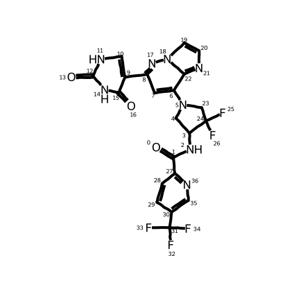 O=C(NC1CN(c2cc(-c3c[nH]c(=O)[nH]c3=O)nn3ccnc23)CC1(F)F)c1ccc(C(F)(F)F)cn1